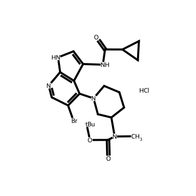 CN(C(=O)OC(C)(C)C)C1CCCN(c2c(Br)cnc3[nH]cc(NC(=O)C4CC4)c23)C1.Cl